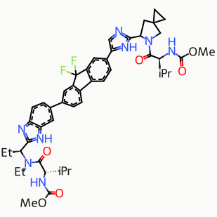 CC[C@@H](c1nc2ccc(-c3ccc4c(c3)C(F)(F)c3cc(-c5cnc(C6CC7(CC7)CN6C(=O)[C@@H](NC(=O)OC)C(C)C)[nH]5)ccc3-4)cc2[nH]1)N(CC)C(=O)[C@@H](NC(=O)OC)C(C)C